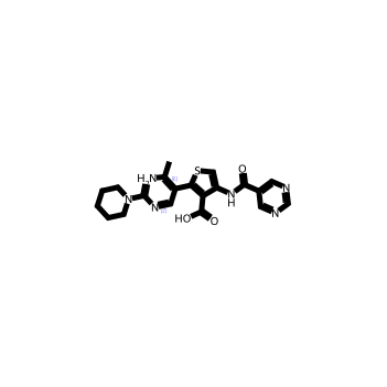 C=C(/N=C\C(=C(\C)N)c1scc(NC(=O)c2cncnc2)c1C(=O)O)N1CCCCC1